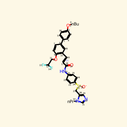 CCCCOc1ccc(-c2ccc(OCC(F)F)c(/C=C/C(=O)Nc3ccc([S@+]([O-])Cc4cncn4CCC)cc3)c2)cc1